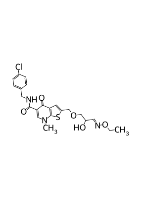 CCON=CC(O)COCc1cc2c(=O)c(C(=O)NCc3ccc(Cl)cc3)cn(C)c2s1